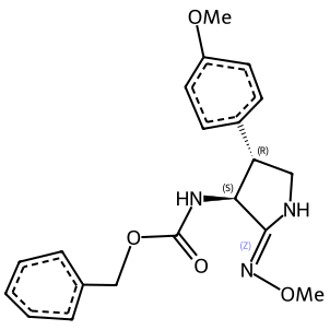 CO/N=C1\NC[C@@H](c2ccc(OC)cc2)[C@@H]1NC(=O)OCc1ccccc1